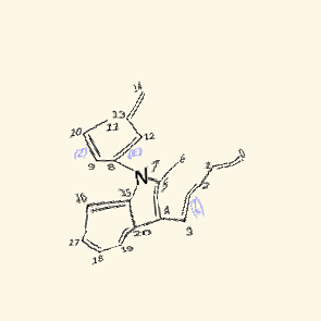 C=C/C=C\c1c(C)n(C(/C=C\C)=C/C=C)c2ccccc12